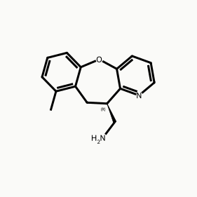 Cc1cccc2c1C[C@H](CN)c1ncccc1O2